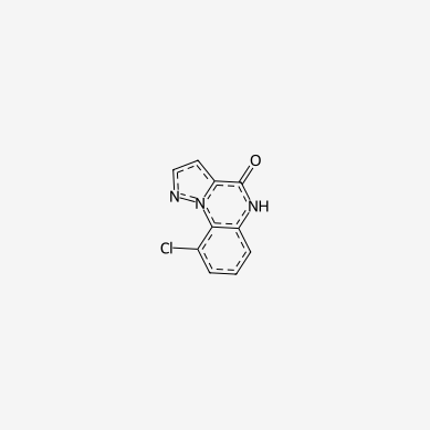 O=c1[nH]c2cccc(Cl)c2n2nccc12